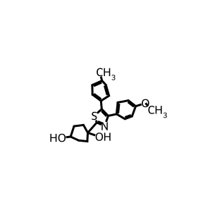 COc1ccc(-c2nc(C3(O)CCC(O)CC3)sc2-c2ccc(C)cc2)cc1